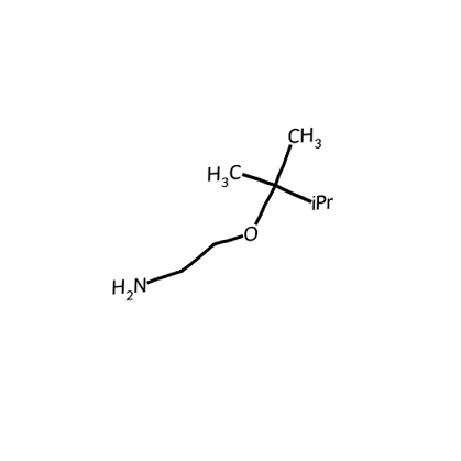 CC(C)C(C)(C)OCCN